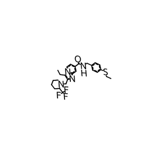 CCSc1ccc(CNC(=O)c2ccn3c(CC)c(CN4CCCCC4C(F)(F)F)nc3c2)cc1